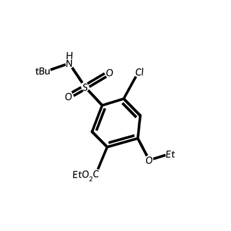 CCOC(=O)c1cc(S(=O)(=O)NC(C)(C)C)c(Cl)cc1OCC